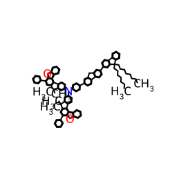 CCCCCCCCC1(CCCCCCCC)c2ccccc2-c2ccc(-c3ccc4c(c3)Cc3cc(-c5ccc(N(c6ccc7c(c6)C(C)(C)c6cc(-c8ccccc8)c8oc9ccccc9c8c6-7)c6ccc7c(c6)C(C)(C)c6cc(-c8ccccc8)c8oc9ccccc9c8c6-7)cc5)ccc3-4)cc21